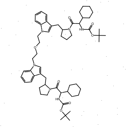 CC(C)(C)OC(=O)NC(C(=O)N1CCCC1Cc1cn(CCOCCn2cc(CC3CCCN3C(=O)C(NC(=O)OC(C)(C)C)C3CCCCC3)c3ccccc32)c2ccccc12)C1CCCCC1